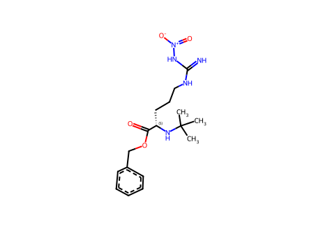 CC(C)(C)N[C@@H](CCCNC(=N)N[N+](=O)[O-])C(=O)OCc1ccccc1